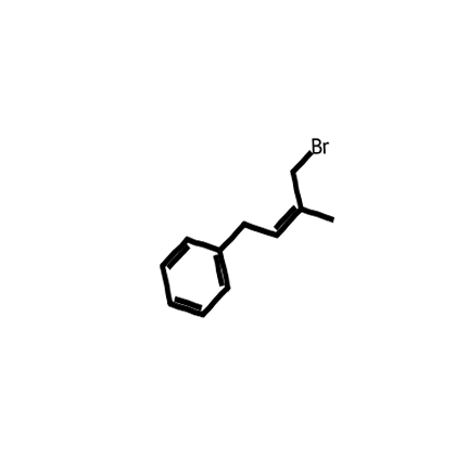 CC(=CCc1ccccc1)CBr